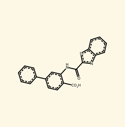 O=C(Nc1cc(-c2ccccc2)ccc1C(=O)O)c1nc2ccccc2s1